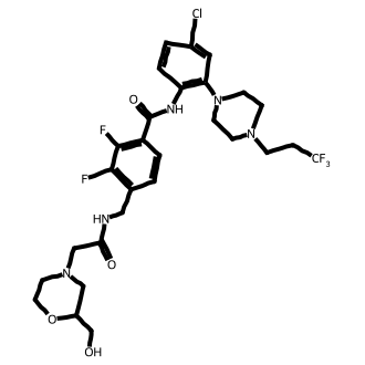 O=C(CN1CCOC(CO)C1)NCc1ccc(C(=O)Nc2ccc(Cl)cc2N2CCN(CCC(F)(F)F)CC2)c(F)c1F